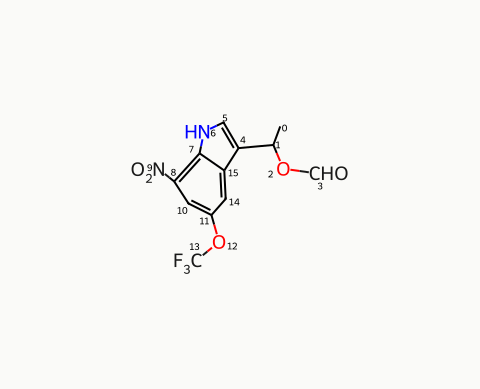 CC(OC=O)c1c[nH]c2c([N+](=O)[O-])cc(OC(F)(F)F)cc12